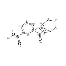 COC(=O)c1ccnc(C(=O)N2C3CCCC2CC3)c1